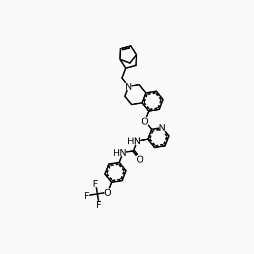 O=C(Nc1ccc(OC(F)(F)F)cc1)Nc1cccnc1Oc1cccc2c1CCN(CC1CC3C=CC1C3)C2